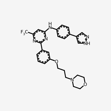 FC(F)(F)c1cc(Nc2ccc(-c3cn[nH]c3)cc2)nc(-c2cccc(OCCCN3CCOCC3)c2)n1